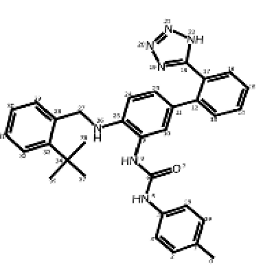 Cc1ccc(NC(=O)Nc2cc(-c3ccccc3-c3nnn[nH]3)ccc2NCc2ccccc2C(C)(C)C)cc1